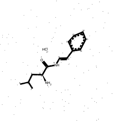 CC(C)C[C@H](N)C(=O)NC=Cc1ccccc1.Cl